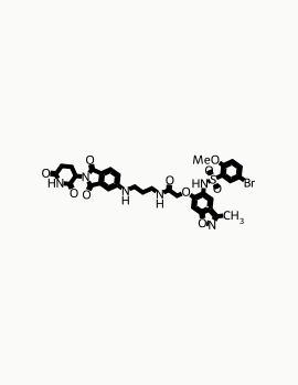 COc1ccc(Br)cc1S(=O)(=O)Nc1cc2c(C)noc2cc1OCC(=O)NCCCNc1ccc2c(c1)C(=O)N(C1CCC(=O)NC1=O)C2=O